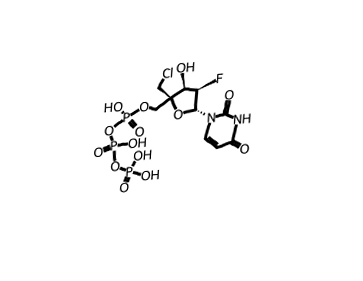 O=c1ccn([C@@H]2O[C@](CCl)(COP(=O)(O)OP(=O)(O)OP(=O)(O)O)[C@@H](O)[C@H]2F)c(=O)[nH]1